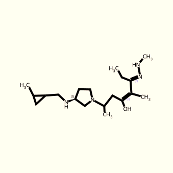 CCC(=N\NC)/C(C)=C(/O)CC(C)N1CC[C@H](NCC2CC2C)C1